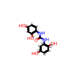 O=C(Nc1ccc(O)cc1O)Nc1cc(O)ccc1O